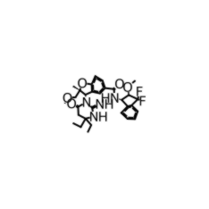 CCC1(CC)CC(=O)N([C@H]2c3cc(C(=O)N[C@H]4c5ccccc5C(F)(F)[C@@H]4OC)ccc3O[C@@]2(C)COC)C(=N)N1